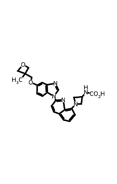 CC1(COc2ccc3c(c2)ncn3-c2ccc3cccc(N4CC(NC(=O)O)C4)c3n2)COC1